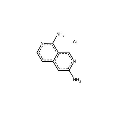 Nc1cc2ccnc(N)c2cn1.[Ar]